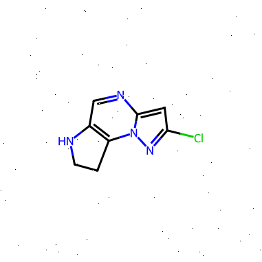 Clc1cc2ncc3c(n2n1)CCN3